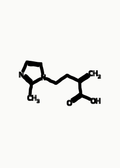 C=C(CCn1ccnc1C)C(=O)O